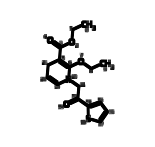 CCOC(=O)C1=C(OCC)N(CC(=O)c2cccs2)C=CC1